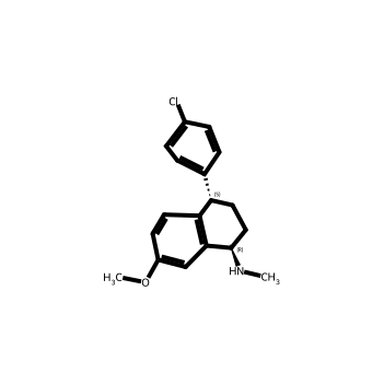 CN[C@@H]1CC[C@@H](c2ccc(Cl)cc2)c2ccc(OC)cc21